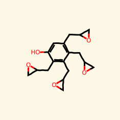 Oc1cc(CC2CO2)c(CC2CO2)c(CC2CO2)c1CC1CO1